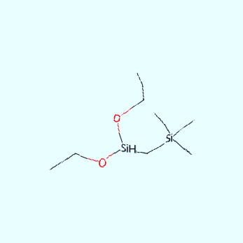 CCO[SiH](C[Si](C)(C)C)OCC